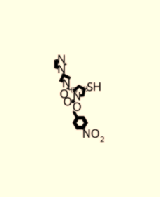 O=C([C@@H]1C[C@H](S)CN1C(=O)OCc1ccc([N+](=O)[O-])cc1)N1CC(n2ccnc2)C1